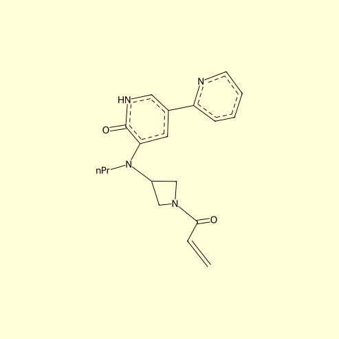 C=CC(=O)N1CC(N(CCC)c2cc(-c3ccccn3)c[nH]c2=O)C1